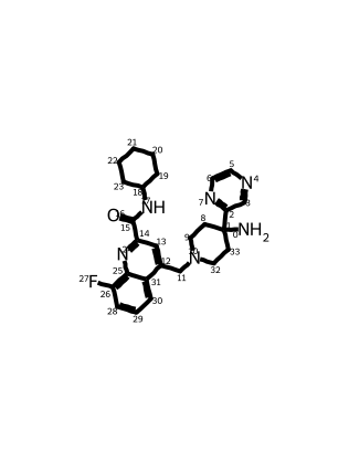 NC1(c2cnccn2)CCN(Cc2cc(C(=O)NC3CCCCC3)nc3c(F)cccc23)CC1